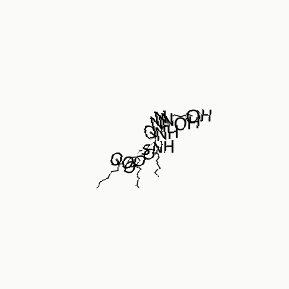 CCCCCC(=O)N[C@H](CSC[C@@H](COC(=O)CCCCC)OC(=O)CCCCC)C(=O)Nc1cn(C[C@@H](O)CO)nn1